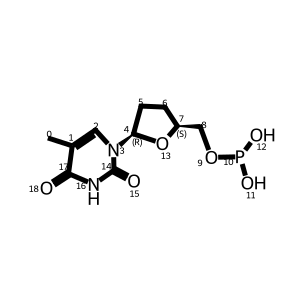 Cc1cn([C@H]2CC[C@@H](COP(O)O)O2)c(=O)[nH]c1=O